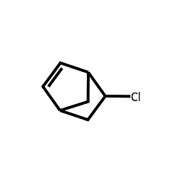 ClC1CC2C=CC1C2